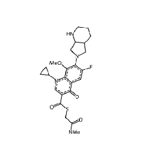 CNC(=O)CSC(=O)c1cn(C2CC2)c2c(OC)c(N3CC4CCCNC4C3)c(F)cc2c1=O